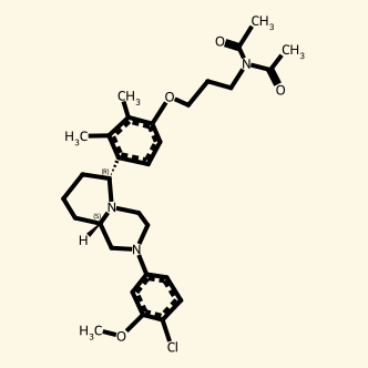 COc1cc(N2CCN3[C@@H](CCC[C@@H]3c3ccc(OCCCN(C(C)=O)C(C)=O)c(C)c3C)C2)ccc1Cl